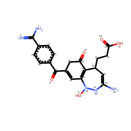 N=C(N)c1ccc(C(=O)C2=CC3=C(C(=O)C2)C(CCC(=O)O)C=C(N)NN3O)cc1